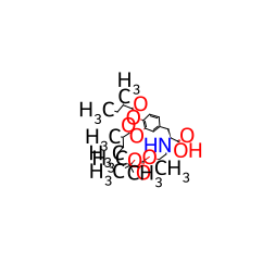 CCC(C)C(=O)Oc1ccc(C[C@H](NCC(C)OC(=O)OC(C)(C)C)C(=O)O)cc1OC(=O)C(C)CC